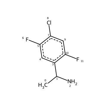 CC(N)c1cc(F)c(Cl)cc1F